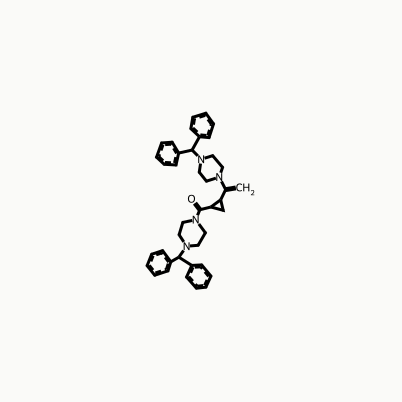 C=C(C1CC1C(=O)N1CCN(C(c2ccccc2)c2ccccc2)CC1)N1CCN(C(c2ccccc2)c2ccccc2)CC1